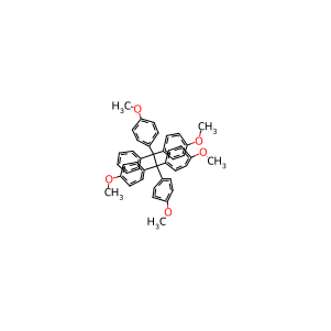 COc1ccc(C(c2ccccc2)(c2ccc(OC)cc2)C(c2ccc(OC)cc2)(c2ccc(OC)cc2)c2ccc(OC)cc2)cc1